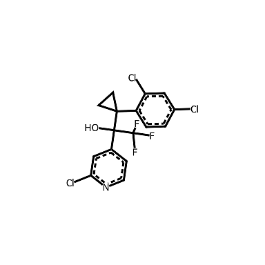 OC(c1ccnc(Cl)c1)(C(F)(F)F)C1(c2ccc(Cl)cc2Cl)CC1